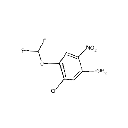 Nc1cc(Cl)c(OC(F)F)cc1[N+](=O)[O-]